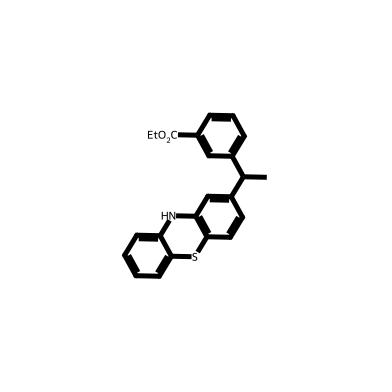 CCOC(=O)c1cccc(C(C)c2ccc3c(c2)Nc2ccccc2S3)c1